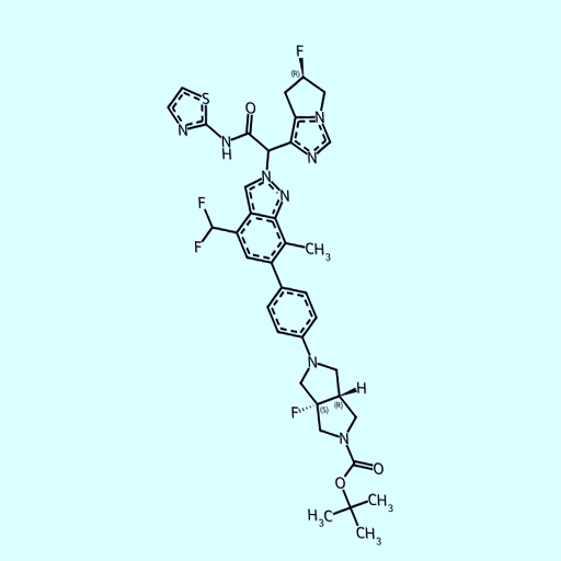 Cc1c(-c2ccc(N3C[C@@H]4CN(C(=O)OC(C)(C)C)C[C@@]4(F)C3)cc2)cc(C(F)F)c2cn(C(C(=O)Nc3nccs3)c3ncn4c3C[C@@H](F)C4)nc12